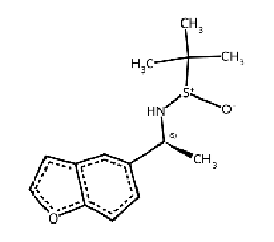 C[C@H](N[S+]([O-])C(C)(C)C)c1ccc2occc2c1